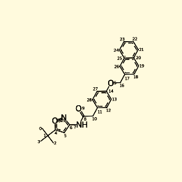 CC(C)(C)c1cc(NC(=O)Cc2ccc(OCc3ccc4ccccc4c3)cc2)no1